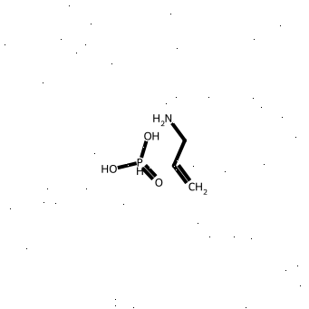 C=CCN.O=[PH](O)O